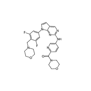 O=C(c1ccc(Nc2ncc3ccn(-c4cc(F)c(CN5CCOCC5)c(F)c4)c3n2)cn1)N1CCOCC1